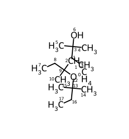 C.CCC(C)(C)O.CCC(C)(C)OC(C)(C)CC